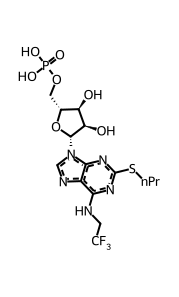 CCCSc1nc(NCC(F)(F)F)c2ncn([C@@H]3O[C@H](COP(=O)(O)O)[C@@H](O)[C@H]3O)c2n1